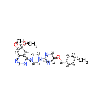 COc1cc2ncnc(N3CCN(c4ncc(OCc5ccc(C)cc5)cn4)CC3)c2cc1OC